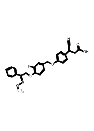 CON=C(COc1ccc(COc2ccc(C(C#N)CC(=O)O)cc2)cc1F)c1ccccc1